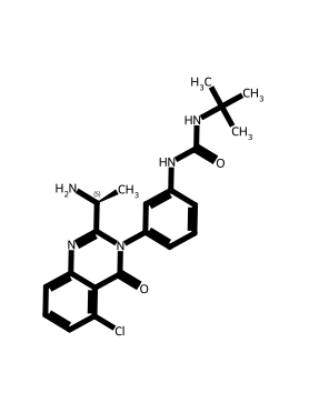 C[C@H](N)c1nc2cccc(Cl)c2c(=O)n1-c1cccc(NC(=O)NC(C)(C)C)c1